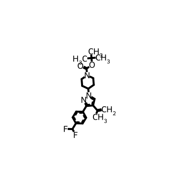 C=C(C)c1cn(C2CCN(C(=O)OC(C)(C)C)CC2)nc1-c1ccc(C(F)F)cc1